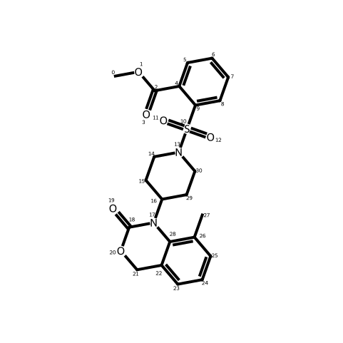 COC(=O)c1ccccc1S(=O)(=O)N1CCC(N2C(=O)OCc3cccc(C)c32)CC1